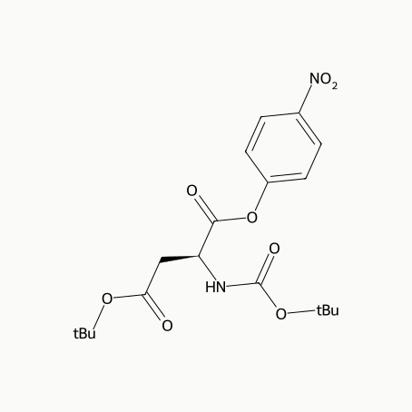 CC(C)(C)OC(=O)C[C@H](NC(=O)OC(C)(C)C)C(=O)Oc1ccc([N+](=O)[O-])cc1